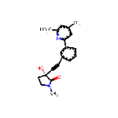 CN1CC[C@@](O)(C#Cc2cccc(-c3cc(C(F)(F)F)cc(C(=O)O)n3)c2)C1=O